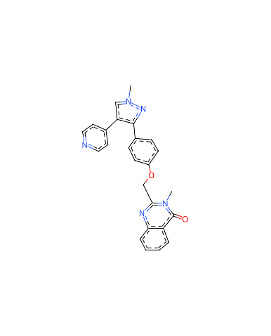 Cn1cc(-c2ccncc2)c(-c2ccc(OCc3nc4ccccc4c(=O)n3C)cc2)n1